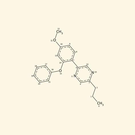 CCCc1cnc(-c2ccc(OC)cc2Oc2ccccc2)cn1